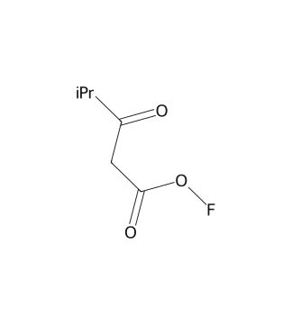 CC(C)C(=O)CC(=O)OF